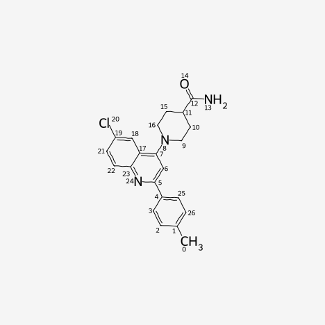 Cc1ccc(-c2cc(N3CCC(C(N)=O)CC3)c3cc(Cl)ccc3n2)cc1